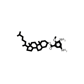 COc1c(N)cc(N)cc1C(=O)OC1CCC2(C)C(CCC3C2CCC2(C)C(C(C)CCCC(C)C)CCC32)C1